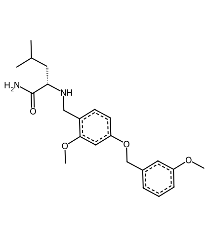 COc1cccc(COc2ccc(CN[C@@H](CC(C)C)C(N)=O)c(OC)c2)c1